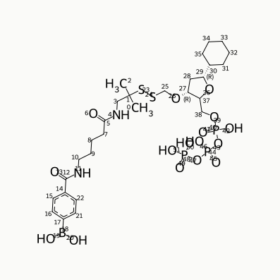 CC(C)(CNC(=O)CCCCNC(=O)c1ccc(B(O)O)cc1)SSCO[C@@H]1C[C@H](C2CCCCC2)OC1COP(=O)(O)OP(=O)(O)OP(=O)(O)O